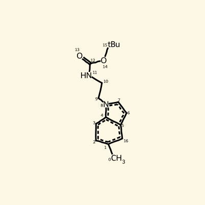 Cc1ccc2c(ccn2CCNC(=O)OC(C)(C)C)c1